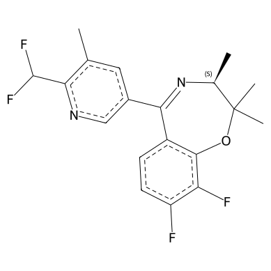 Cc1cc(C2=N[C@@H](C)C(C)(C)Oc3c2ccc(F)c3F)cnc1C(F)F